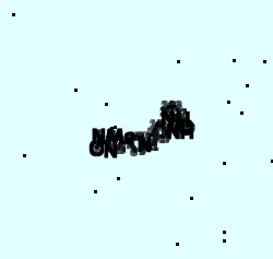 CNC(=O)c1ccc(C2=CCN(Cc3ccc4c(c3)NC(=O)[C@@H]3CCCCN43)CC2)cn1